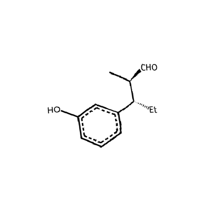 CC[C@H](c1cccc(O)c1)[C@@H](C)C=O